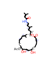 CC(=O)O[C@@H]1CC/C=C/C=C(\C)C[C@H]([C@@H](C)/C=C(C)/C=C/NC(=O)C=C(C)C)OC(=O)/C=C/CCC[C@@H](O)/C=C/[C@H]1O